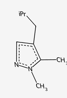 Cc1c(CC(C)C)cnn1C